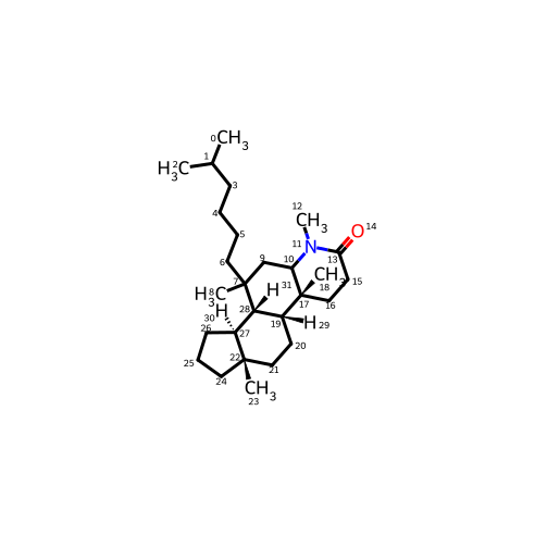 CC(C)CCCCC1(C)CC2N(C)C(=O)CC[C@]2(C)[C@@H]2CC[C@]3(C)CCC[C@H]3[C@@H]21